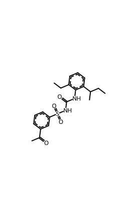 CCc1cccc(C(C)CC)c1NC(=O)NS(=O)(=O)c1cccc(C(C)=O)c1